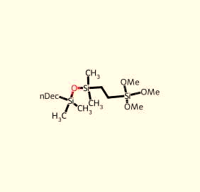 CCCCCCCCCC[Si](C)(C)O[Si](C)(C)CC[Si](OC)(OC)OC